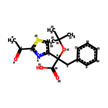 CC(=O)c1nc(C(Cc2ccccc2)(OC(C)(C)C)C(=O)O)cs1